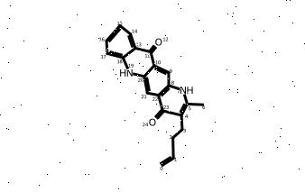 C=CCCc1c(C)[nH]c2cc3c(=O)c4ccccc4[nH]c3cc2c1=O